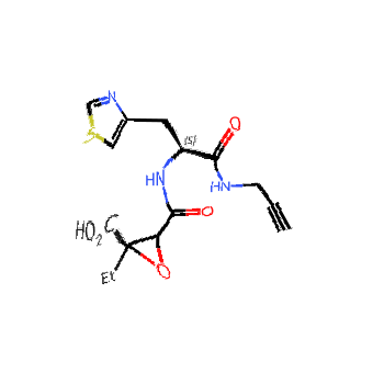 C#CCNC(=O)[C@H](Cc1cscn1)NC(=O)C1OC1(CC)C(=O)O